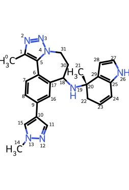 Cc1nnn2c1-c1ccc(-c3cnn(C)c3)cc1C(N[C@@]1(C)CC=Cc3[nH]ccc31)CC2